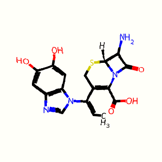 C/C=C(\C1=C(C(=O)O)N2C(=O)C(N)[C@H]2SC1)n1cnc2cc(O)c(O)cc21